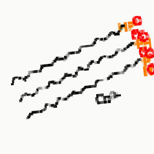 CCCCCCCCCCCCCCCCCC[PH](=O)[O-].CCCCCCCCCCCCCCCCCC[PH](=O)[O-].CCCCCCCCCCCCCCCCCC[PH](=O)[O-].[Co+3]